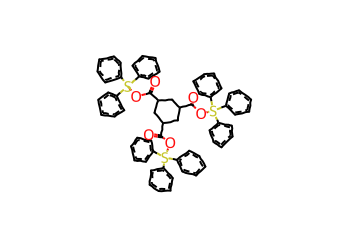 O=C(OS(c1ccccc1)(c1ccccc1)c1ccccc1)C1CC(C(=O)OS(c2ccccc2)(c2ccccc2)c2ccccc2)CC(C(=O)OS(c2ccccc2)(c2ccccc2)c2ccccc2)C1